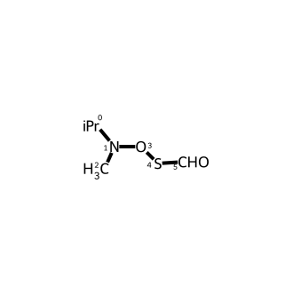 CC(C)N(C)OSC=O